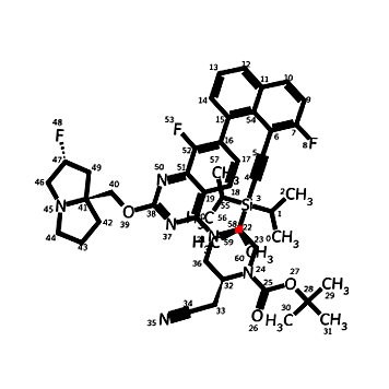 CC(C)[Si](C#Cc1c(F)ccc2cccc(-c3ccc4c(N5CCN(C(=O)OC(C)(C)C)[C@@H](CC#N)C5)nc(OC[C@@]56CCCN5C[C@H](F)C6)nc4c3F)c12)(C(C)C)C(C)C